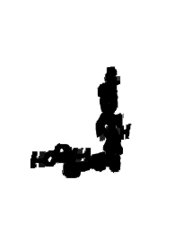 C=CCC(F)Oc1ccc(C2=CN=C3C(Nc4ccc(C(=O)N5CCC(CCC(=O)[C@@H](N)CC(=O)O)CC5)c(C)c4)=NC=CC4CC234)cc1